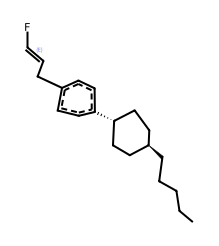 CCCCC[C@H]1CC[C@H](c2ccc(C/C=C/F)cc2)CC1